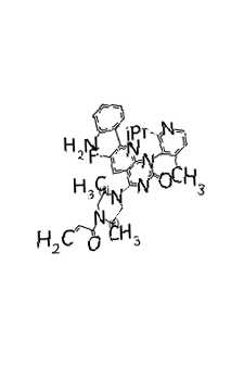 C=CC(=O)N1C[C@H](C)N(c2nc(=O)n(-c3c(C)ccnc3C(C)C)c3nc(-c4ccccc4N)c(F)cc23)C[C@H]1C